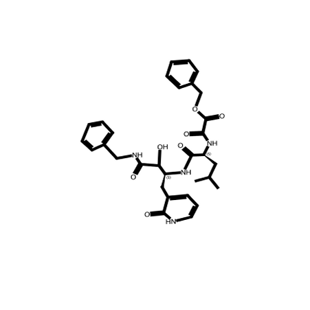 CC(C)C[C@H](NC(=O)C(=O)OCc1ccccc1)C(=O)N[C@@H](Cc1ccc[nH]c1=O)C(O)C(=O)NCc1ccccc1